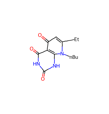 CCCCn1c(CC)cc(=O)c2c(=O)[nH]c(=O)[nH]c21